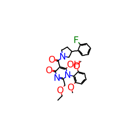 CCOCc1nc(=O)c(C(=O)N2CCC(c3ccccc3F)C2)c(O)n1-c1c(OC)cccc1OC